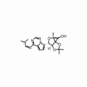 CN(C)/C=N\c1ncnn2c([C@@H]3O[C@]4(C)C(O)C45OC(C)(C)O[C@@H]35)ccc12